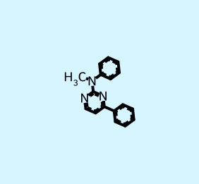 CN(c1ccccc1)c1nccc(-c2ccccc2)n1